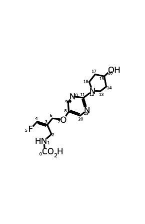 O=C(O)NC/C(=C\F)COc1cnc(N2CCC(O)CC2)nc1